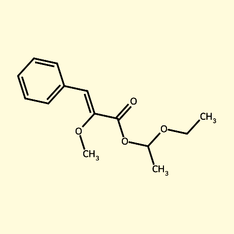 CCOC(C)OC(=O)C(=Cc1ccccc1)OC